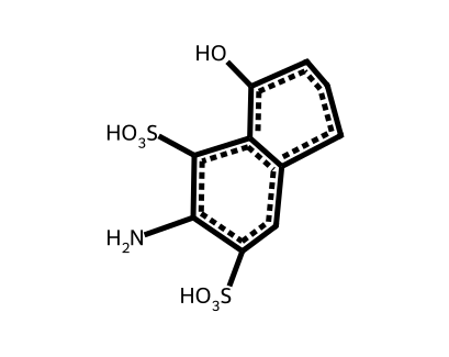 Nc1c(S(=O)(=O)O)cc2cccc(O)c2c1S(=O)(=O)O